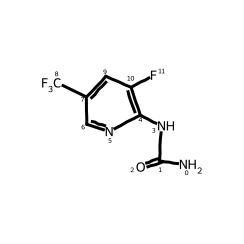 NC(=O)Nc1ncc(C(F)(F)F)cc1F